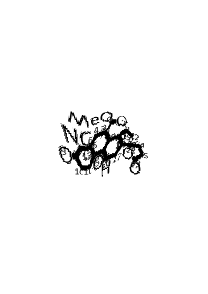 COC(=O)[C@@H]1C[C@]2(C#N)CC(=O)CC[C@]2(C)[C@@]23O[C@@H]2C[C@@]2(C)C(CC[C@@]24CCC(=O)O4)C13